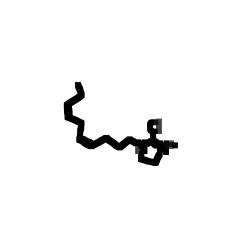 CC/C=C\C/C=C\CCCN1CC[N+](C)=C1Cl